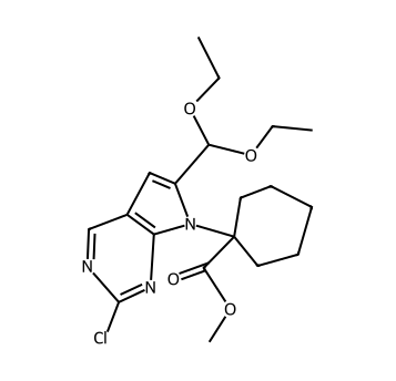 CCOC(OCC)c1cc2cnc(Cl)nc2n1C1(C(=O)OC)CCCCC1